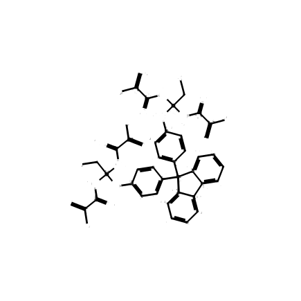 C=C(C)C(=O)OC(CC)(OC(=O)C(=C)C)Oc1ccc(C2(c3ccc(OC(CC)(OC(=O)C(=C)C)OC(=O)C(=C)C)cc3)c3ccccc3-c3ccccc32)cc1